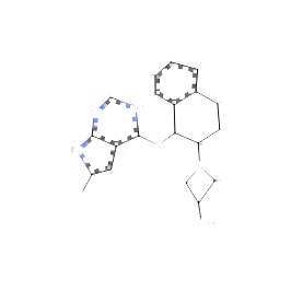 COC1CN(C2CCc3ccccc3C2Nc2ncnc3[nH]c(C(F)(F)F)cc23)C1